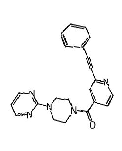 O=C(c1ccnc(C#Cc2ccccc2)c1)N1CCN(c2ncccn2)CC1